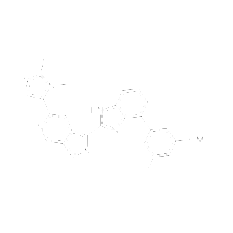 COc1cc(F)cc(-c2cccc3[nH]c(-c4n[nH]c5cnc(-c6cnc(C)n6C)cc45)nc23)c1